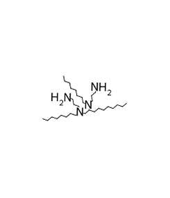 CCCCCCCCC(CN(CCCN)CCCCCCCC)N(CCCN)CCCCCCCC